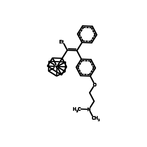 CCC(=C(c1ccccc1)c1ccc(OCCN(C)C)cc1)[C]12[CH]3[CH]4[CH]5[CH]1[Fe]45321678[CH]2[CH]1[CH]6[CH]7[CH]28